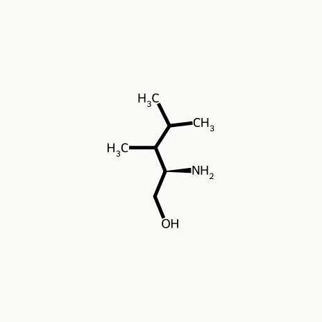 CC(C)C(C)[C@@H](N)CO